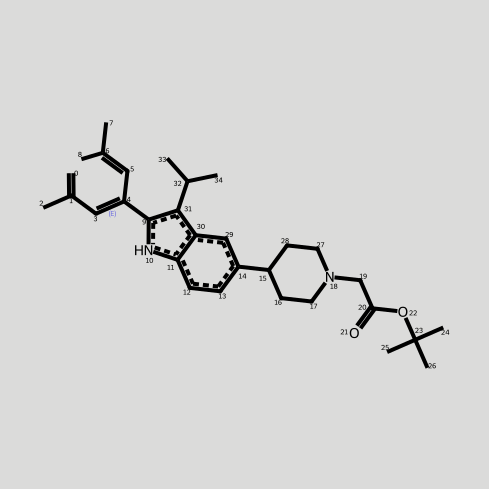 C=C(C)/C=C(\C=C(C)C)c1[nH]c2ccc(C3CCN(CC(=O)OC(C)(C)C)CC3)cc2c1C(C)C